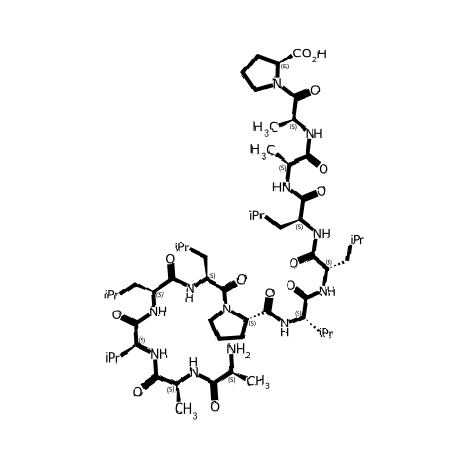 CC(C)C[C@H](NC(=O)[C@H](CC(C)C)NC(=O)[C@@H](NC(=O)[C@@H]1CCCN1C(=O)[C@H](CC(C)C)NC(=O)[C@H](CC(C)C)NC(=O)[C@@H](NC(=O)[C@H](C)NC(=O)[C@H](C)N)C(C)C)C(C)C)C(=O)N[C@@H](C)C(=O)N[C@@H](C)C(=O)N1CCC[C@H]1C(=O)O